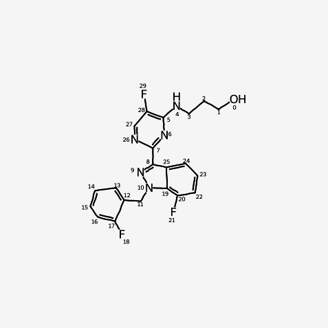 OCCCNc1nc(-c2nn(Cc3ccccc3F)c3c(F)cccc23)ncc1F